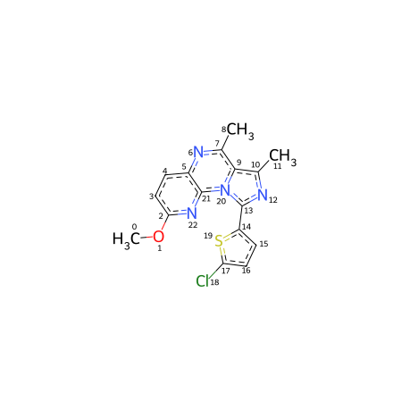 COc1ccc2nc(C)c3c(C)nc(-c4ccc(Cl)s4)n3c2n1